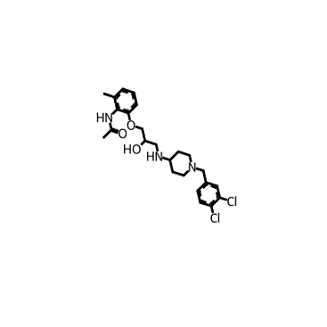 CC(=O)Nc1c(C)cccc1OCC(O)CNC1CCN(Cc2ccc(Cl)c(Cl)c2)CC1